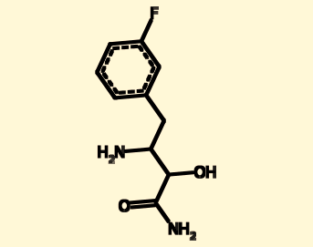 NC(=O)C(O)C(N)Cc1cccc(F)c1